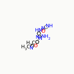 Cc1ccc(Oc2ccc(-c3nc(N)c4cc(NC5=NC6(CCNCC6)CO5)ccc4n3)cc2C)cn1